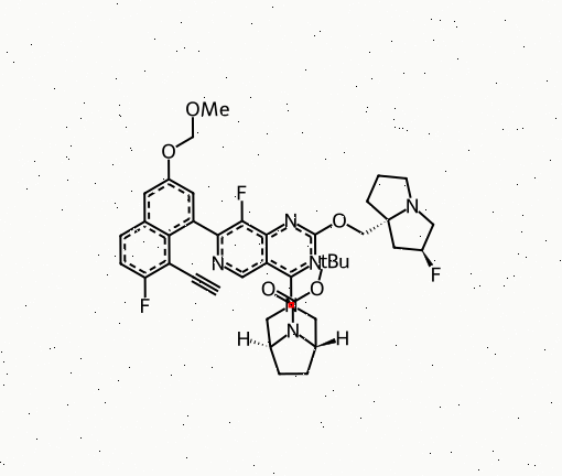 C#Cc1c(F)ccc2cc(OCOC)cc(-c3ncc4c(N5C[C@@H]6CC[C@@H](C5)N6C(=O)OC(C)(C)C)nc(OC[C@]56CCCN5C[C@@H](F)C6)nc4c3F)c12